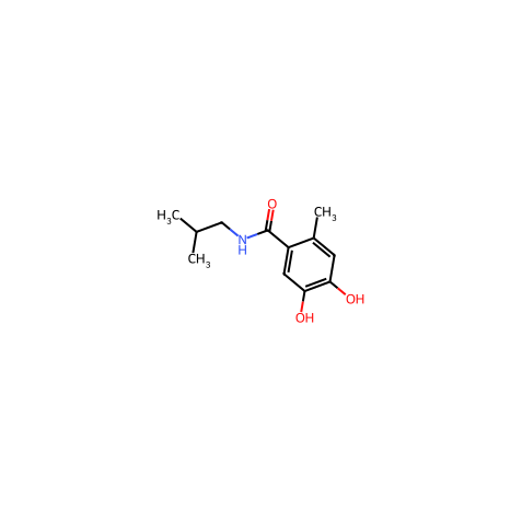 Cc1cc(O)c(O)cc1C(=O)NCC(C)C